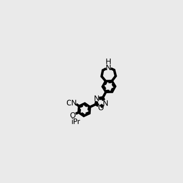 [C-]#[N+]c1cc(-c2nc(-c3ccc4c(c3)CCNCC4)no2)ccc1OC(C)C